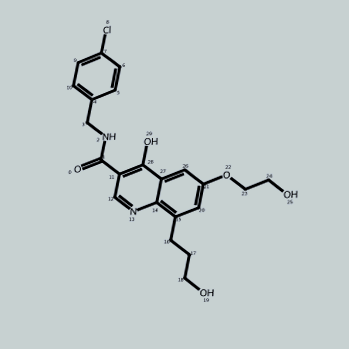 O=C(NCc1ccc(Cl)cc1)c1cnc2c(CCCO)cc(OCCO)cc2c1O